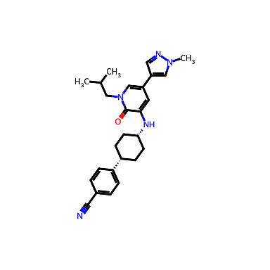 CC(C)Cn1cc(-c2cnn(C)c2)cc(N[C@H]2CC[C@@H](c3ccc(C#N)cc3)CC2)c1=O